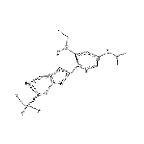 CC[S+]([O-])c1cc(OC(C)C)cnc1-c1cn2cnc(C(F)(F)F)cc2n1